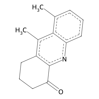 Cc1cccc2nc3c(c(C)c12)CCCC3=O